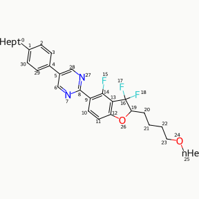 CCCCCCCc1ccc(-c2cnc(-c3ccc4c(c3F)C(F)(F)C(CCCCOCCCCCC)O4)nc2)cc1